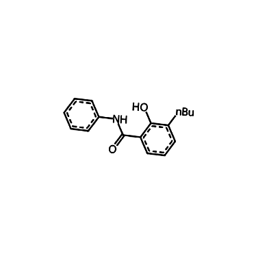 CCCCc1cccc(C(=O)Nc2ccccc2)c1O